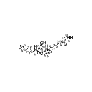 Cc1ncsc1-c1ccc([C@H](C)NC(=O)[C@@H]2C[C@@H](O)CN2C(=O)[C@@H](NC(=O)CCCCCCNC(=O)[C@@H]2CCNC2)C(C)(C)C)cc1